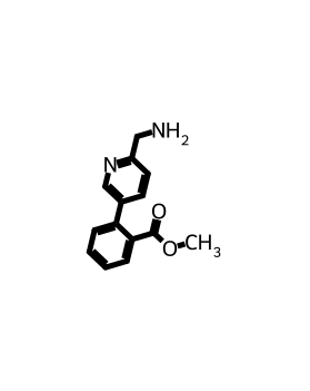 COC(=O)c1ccccc1-c1ccc(CN)nc1